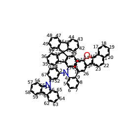 c1cc(N(c2ccccc2-c2ccc3oc4c5ccccc5ccc4c3c2)c2cccc3c2-c2ccccc2C32c3ccccc3-c3ccccc32)cc(-n2c3ccccc3c3ccccc32)c1